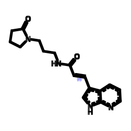 O=C(/C=C/c1c[nH]c2ncccc12)NCCCN1CCCC1=O